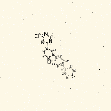 Clc1ncnc(-c2ccc3oc4cc(-c5ccccc5)ccc4c3c2)n1